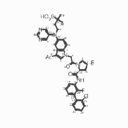 CC(=O)c1cn(CC(=O)N2C[C@H](F)C[C@H]2C(=O)Nc2cccc(-c3ccccc3Cl)c2F)c2ccc(N(CCC(C)(C)C(=O)O)c3cncnc3)cc12